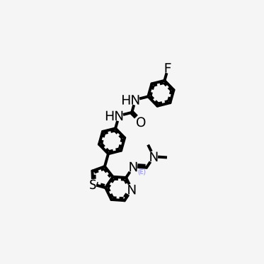 CN(C)/C=N/c1nccc2scc(-c3ccc(NC(=O)Nc4cccc(F)c4)cc3)c12